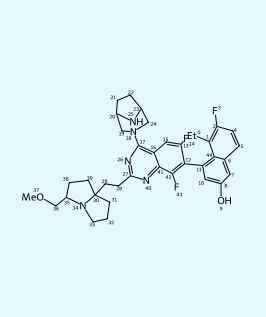 CCc1c(F)ccc2cc(O)cc(-c3c(F)cc4c(N5CC6CCC(C5)N6)nc(CCC56CCCN5C(COC)CC6)nc4c3F)c12